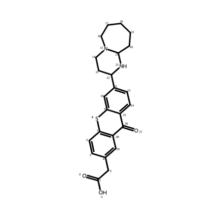 O=C(O)Cc1ccc2sc3cc(C4CCN5CCCCCC5N4)ccc3c(=O)c2c1